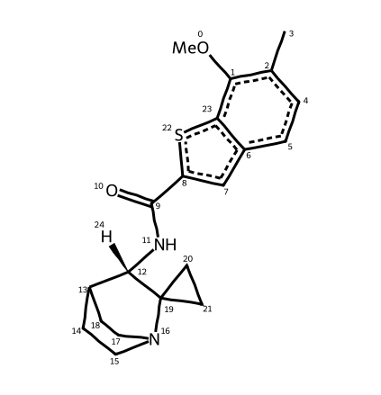 COc1c(C)ccc2cc(C(=O)N[C@H]3C4CCN(CC4)C34CC4)sc12